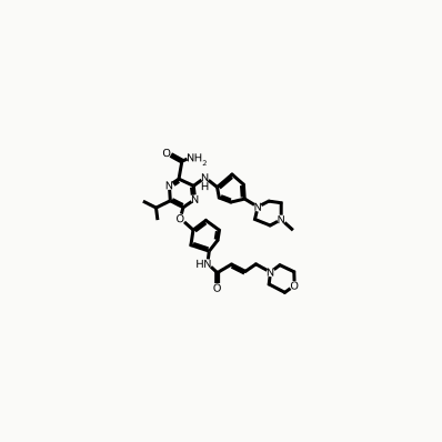 CC(C)c1nc(C(N)=O)c(Nc2ccc(N3CCN(C)CC3)cc2)nc1Oc1cccc(NC(=O)C=CCN2CCOCC2)c1